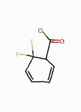 O=C(Cl)C1C=CC=CC1(F)F